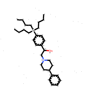 CCC[CH2][Sn]([CH2]CCC)([CH2]CCC)[c]1ccc(C(O)CN2CCC(c3ccccc3)CC2)cc1